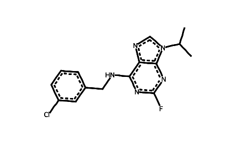 CC(C)n1cnc2c(NCc3cccc(Cl)c3)nc(F)nc21